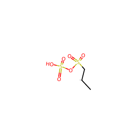 C[CH]CS(=O)(=O)OS(=O)(=O)O